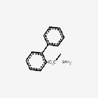 CC(=O)O.[SnH2].c1ccc(-c2ccccc2)cc1